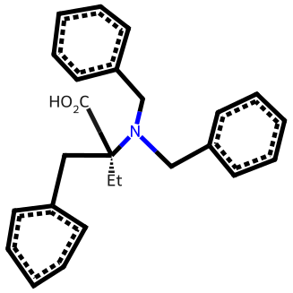 CC[C@](Cc1ccccc1)(C(=O)O)N(Cc1ccccc1)Cc1ccccc1